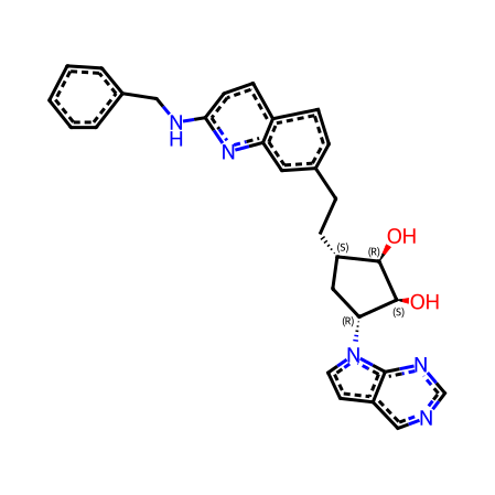 O[C@@H]1[C@@H](CCc2ccc3ccc(NCc4ccccc4)nc3c2)C[C@@H](n2ccc3cncnc32)[C@@H]1O